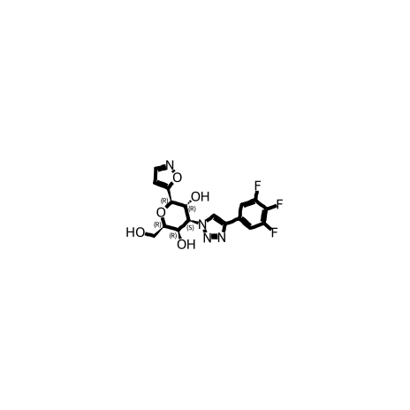 OC[C@H]1O[C@@H](c2ccno2)[C@H](O)[C@@H](n2cc(-c3cc(F)c(F)c(F)c3)nn2)[C@H]1O